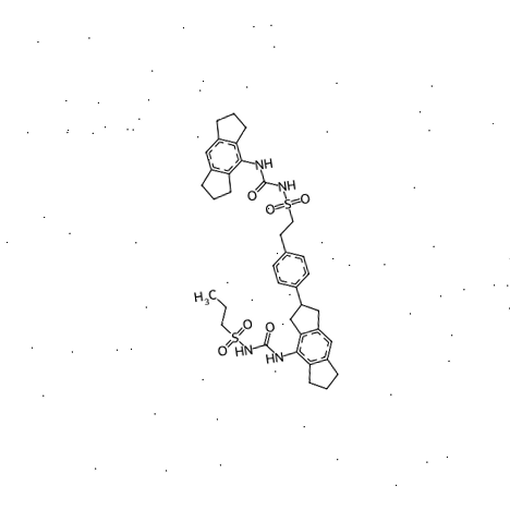 CCCS(=O)(=O)NC(=O)Nc1c2c(cc3c1CC(c1ccc(CCS(=O)(=O)NC(=O)Nc4c5c(cc6c4CCC6)CCC5)cc1)C3)CCC2